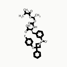 CC(C)C(=O)O[C@H](C)OC(=O)N[C@@H](Cc1cccc([S+]([O-])N2CC(Oc3ccc(F)cc3)(c3ccccc3)C2)c1)C(=O)O